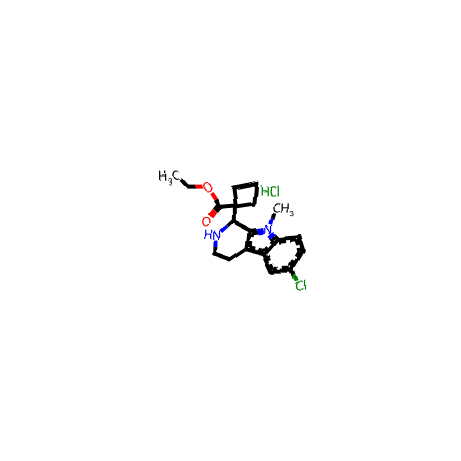 CCOC(=O)C1(C2NCCc3c2n(C)c2ccc(Cl)cc32)CCC1.Cl